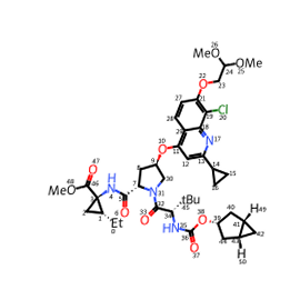 CC[C@@H]1C[C@]1(NC(=O)[C@@H]1C[C@@H](Oc2cc(C3CC3)nc3c(Cl)c(OCC(OC)OC)ccc23)CN1C(=O)[C@@H](NC(=O)O[C@@H]1C[C@@H]2C[C@@H]2C1)C(C)(C)C)C(=O)OC